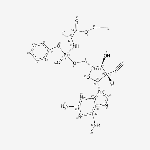 C#C[C@@]1(Cl)[C@H](O)[C@@H](CO[P@](=O)(N[C@H](C)C(=O)OCC)Oc2ccccc2)O[C@H]1n1cnc2c(NC)nc(N)nc21